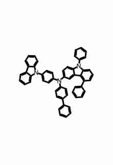 c1ccc(-c2ccc(N(c3ccc(-n4c5ccccc5c5ccccc54)cc3)c3ccc4c(c3)c3c(-c5ccccc5)cccc3n4-c3ccccc3)cc2)cc1